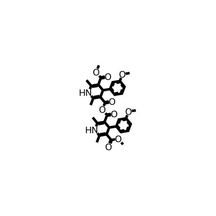 COC(=O)C1=C(C)NC(C)=C(C(=O)OC(=O)C2=C(C)NC(C)=C(C(=O)OC)C2c2cccc(OC)c2)C1c1cccc(OC)c1